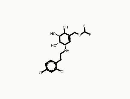 O[C@@H]1[C@@H](O)[C@@H](O)C(COC(F)F)=C[C@H]1NCCc1ccc(Cl)cc1Cl